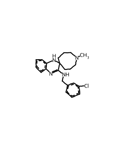 CN1CCCC2(CCC1)Nc1ccccc1N=C2NCc1cccc(Cl)c1